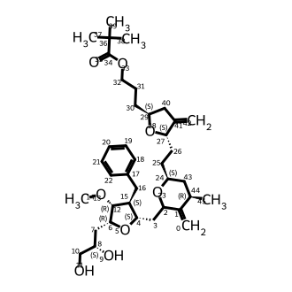 C=C1C(C[C@@H]2O[C@H](C[C@H](O)CO)[C@H](OC)[C@H]2Cc2ccccc2)O[C@@H](CC[C@@H]2O[C@@H](CCCOC(=O)C(C)(C)C)CC2=C)C[C@H]1C